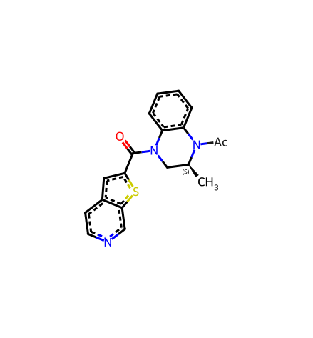 CC(=O)N1c2ccccc2N(C(=O)c2cc3ccncc3s2)C[C@@H]1C